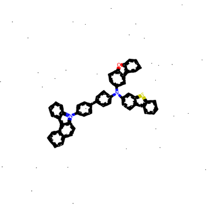 c1ccc2c(c1)ccc1c2c2ccccc2n1-c1ccc(-c2ccc(N(c3ccc4c(c3)sc3ccccc34)c3ccc4oc5ccccc5c4c3)cc2)cc1